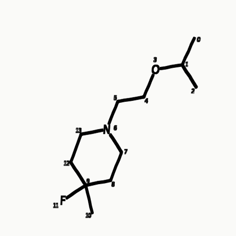 CC(C)OCCN1CCC(C)(F)CC1